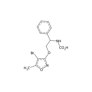 Cc1onc(OCC(NC(=O)O)c2ccccc2)c1Br